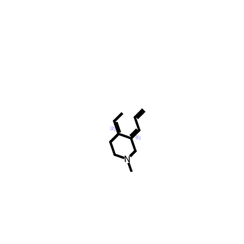 C=C/C=C1/CN(C)CC/C1=C/C